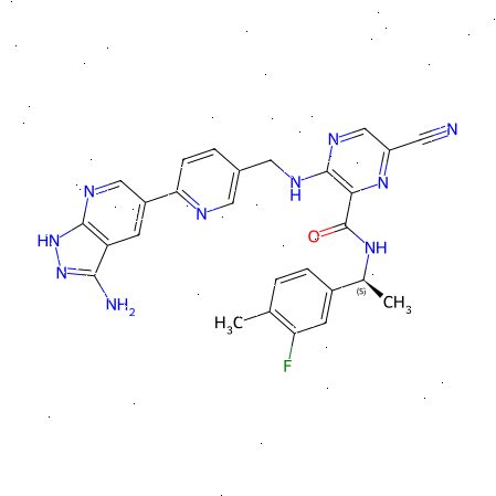 Cc1ccc([C@H](C)NC(=O)c2nc(C#N)cnc2NCc2ccc(-c3cnc4[nH]nc(N)c4c3)nc2)cc1F